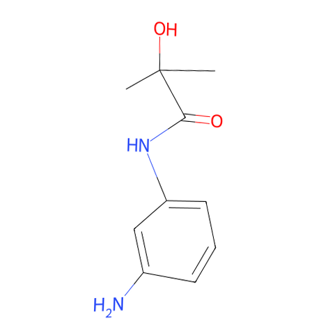 CC(C)(O)C(=O)Nc1cccc(N)c1